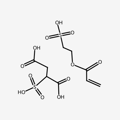 C=CC(=O)OCCS(=O)(=O)O.O=C(O)CC(C(=O)O)S(=O)(=O)O